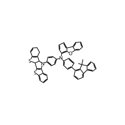 CC1(C)c2ccccc2-c2cccc(-c3ccc(N(c4ccc(N5c6c(sc7ccccc67)C6SC7=C(CCC=C7)C65)cc4)c4cccc5c4oc4ccccc45)cc3)c21